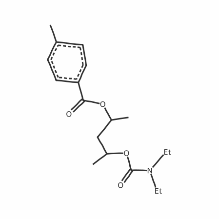 CCN(CC)C(=O)OC(C)CC(C)OC(=O)c1ccc(C)cc1